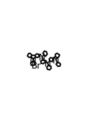 Brc1cc(N(c2ccccc2)c2ccc3c4ccccc4n(-c4ccccc4)c3c2)cc(N(c2ccccc2)c2ccc3c4ccccc4n(-c4ccccc4)c3c2)c1